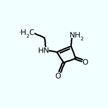 [CH2]CNc1c(N)c(=O)c1=O